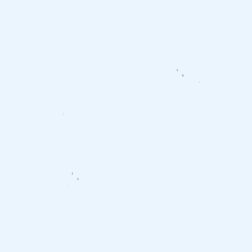 FC(F)(F)c1ccccc1.O=[N+]([O-])c1ccc(-c2ccc([N+](=O)[O-])cc2)cc1